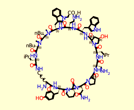 CCCC[C@H]1C(=O)N(C)[C@@H](CCCC)C(=O)N[C@@H](CC(C)C)C(=O)NCCC[C@@H](N)C(=O)N[C@@H](Cc2ccc(O)cc2)C(=O)N2CCCC[C@@]23C(=O)N3[C@@H](CC(N)=O)C(=O)N2CCC[C@H]2C(=O)N[C@@H](CN)C(=O)N[C@@H](CC(C)C)C(=O)N2C[C@H](O)C[C@H]2C(=O)N[C@@H](Cc2c[nH]c3ccccc23)C(=O)N[C@@H](CCN)C(=O)N[C@@H](Cc2cn(CC(=O)O)c3ccccc23)C(=O)N1C